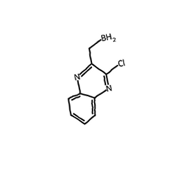 BCc1nc2ccccc2nc1Cl